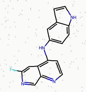 Fc1cc2c(Nc3ccc4[nH]ccc4c3)ccnc2cn1